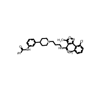 C=C(NCCCN1CCC(c2cccc(NC(=O)C(C)C)c2)CC1)c1c(-c2c(Cl)cccc2Cl)noc1C